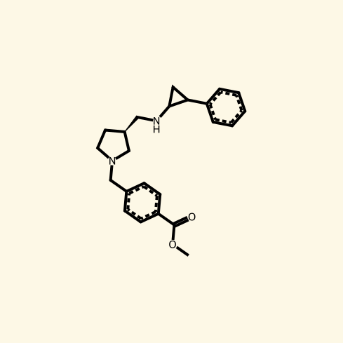 COC(=O)c1ccc(CN2CC[C@@H](CNC3CC3c3ccccc3)C2)cc1